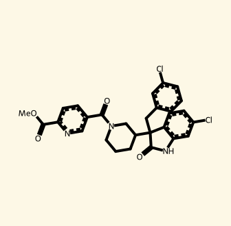 COC(=O)c1ccc(C(=O)N2CCCC(C3(Cc4cccc(Cl)c4)C(=O)Nc4cc(Cl)ccc43)C2)cn1